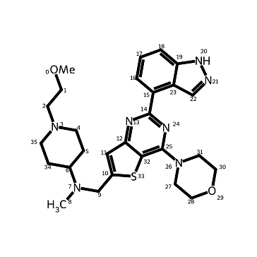 COCCN1CCC(N(C)Cc2cc3nc(-c4cccc5[nH]ncc45)nc(N4CCOCC4)c3s2)CC1